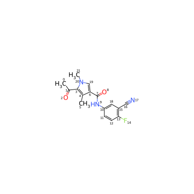 CC(=O)c1c(C)c(C(=O)Nc2ccc(F)c(C#N)c2)cn1C